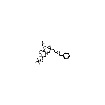 CC(C)(C)OC(=O)CN(CC1(CCOCc2ccccc2)CC1)C(=O)OCCl